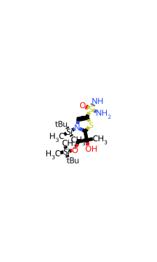 CC(O)(CO[Si](C)(C)C(C)(C)C)C1SC(S(=N)(N)=O)=CN1[Si](C)(C)C(C)(C)C